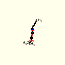 CCCCCCCCCCc1cnc(-c2ccc(OCc3ccc(C(=O)OCC(C)CC)cc3)cc2)nc1